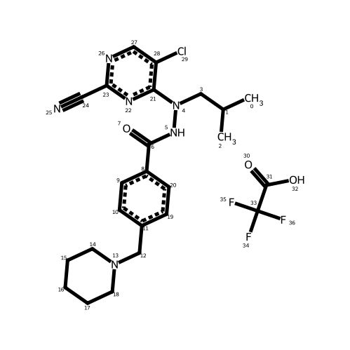 CC(C)CN(NC(=O)c1ccc(CN2CCCCC2)cc1)c1nc(C#N)ncc1Cl.O=C(O)C(F)(F)F